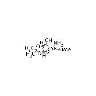 COC[C@@H](N)[C@H]1O[C@@H]2OC(C)(C)O[C@@H]2[C@H]1O